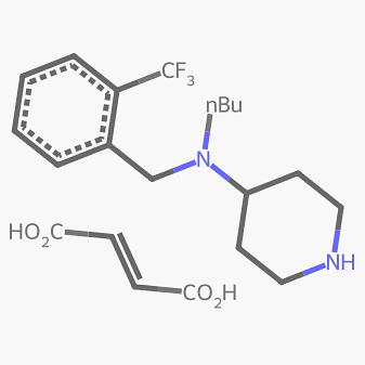 CCCCN(Cc1ccccc1C(F)(F)F)C1CCNCC1.O=C(O)/C=C/C(=O)O